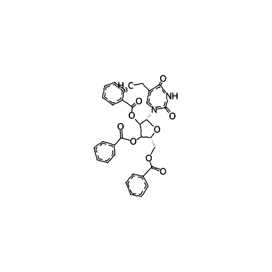 CCc1cn([C@@H]2O[C@H](COC(=O)c3ccccc3)C(OC(=O)c3ccccc3)C2OC(=O)c2ccccc2)c(=O)[nH]c1=O